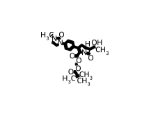 C[C@@H](O)[C@H]1C(=O)N2C(C(=O)OCOC(=O)C(C)(C)C)=C(c3ccc(N4CCN(C)C4=O)cc3)C[C@H]12